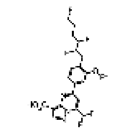 CCOc1cc(-c2cc(C(F)F)n3ncc(C(=O)O)c3n2)ccc1CC(F)C(F)CCCF